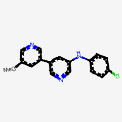 COc1cncc(-c2cncc(Nc3ccc(Cl)cc3)c2)c1